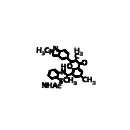 CC(=O)NSc1ccccc1NC(C)c1cc(C)cc2c(=O)c(C)c(-c3ccc4nn(C)cc4c3)oc12